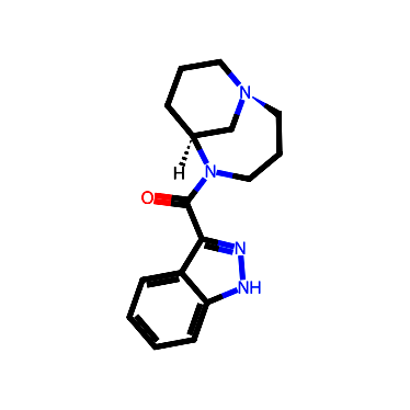 O=C(c1n[nH]c2ccccc12)N1CCC[N@]2CCC[C@H]1C2